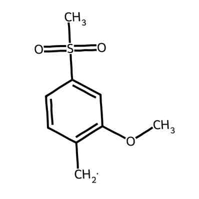 [CH2]c1ccc(S(C)(=O)=O)cc1OC